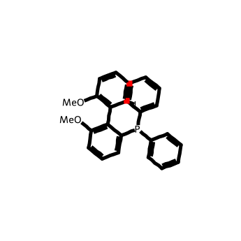 COc1cccc(I)c1-c1c(OC)cccc1P(c1ccccc1)c1ccccc1